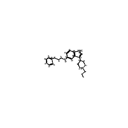 CCCN1CCC(c2c[nH]c3ccc(SCCCc4ccccc4)cc23)CC1